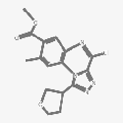 COC(=O)c1cc2nc(Cl)c3nnc(C4CCOC4)n3c2cc1C